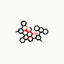 CCC(C[C@@H](CC)Oc1ccccc1-c1cc(C)cc(-c2c3c(cc4c2CCCC4)CCCC3)c1O)Oc1ccccc1-c1cc(C)cc(-c2c3c(cc4c2CCCC4)CCCC3)c1O